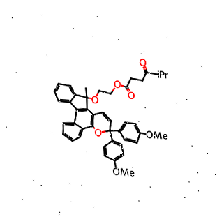 COc1ccc(C2(c3ccc(OC)cc3)C=Cc3c4c(c5ccccc5c3O2)-c2ccccc2C4(C)OCCOC(=O)CCC(=O)C(C)C)cc1